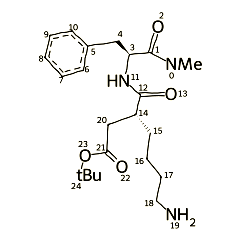 CNC(=O)[C@H](Cc1ccccc1)NC(=O)[C@H](CCCCN)CC(=O)OC(C)(C)C